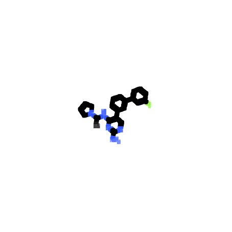 CCC(Nc1nc(N)ncc1-c1cccc(-c2cccc(F)c2)c1)N1CC=CC1